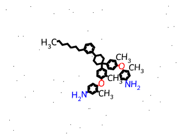 CCCCCCCc1cccc(C2CCC(c3ccc(Oc4ccc(N)cc4C)c(C)c3)(c3ccc(Oc4ccc(N)cc4C)c(C)c3)CC2)c1